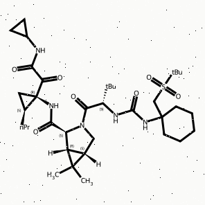 CCC[C@H]1C[C@]1(NC(=O)[C@@H]1[C@@H]2[C@H](CN1C(=O)[C@@H](NC(=O)NC1(CS(=O)(=O)C(C)(C)C)CCCCC1)C(C)(C)C)C2(C)C)C(=O)C(=O)NC1CC1